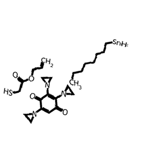 C=CCOC(=O)CS.CCCCCCC[CH2][SnH].O=C1C=C(N2CC2)C(=O)C(N2CC2)=C1N1CC1